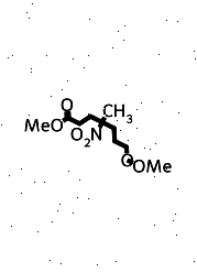 COOCCCC(C)(CCC(=O)OC)[N+](=O)[O-]